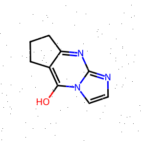 Oc1c2c(nc3nccn13)CCC2